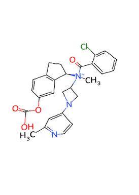 Cc1cc(N2CC([N+](C)(C(=O)c3ccccc3Cl)[C@@H]3CCc4ccc(OC(=O)O)cc43)C2)ccn1